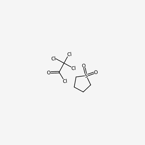 O=C(Cl)C(Cl)(Cl)Cl.O=S1(=O)CCCC1